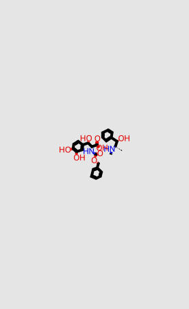 CN[C@@H](C)[C@H](O)c1ccccc1.O=C(N[C@@H](C(=O)O)C(O)c1ccc(O)c(O)c1)OCc1ccccc1